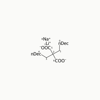 CCCCCCCCCCCC(CCCCCCCCCCC)(C(=O)[O-])C(=O)[O-].[Li+].[Na+]